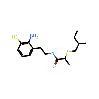 CCC(C)CSC(C)C(=O)NCCc1cccc(S)c1N